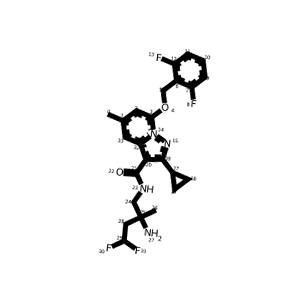 Cc1cc(OCc2c(F)cccc2F)n2nc(C3CC3)c(C(=O)NCC(C)(N)CC(F)F)c2c1